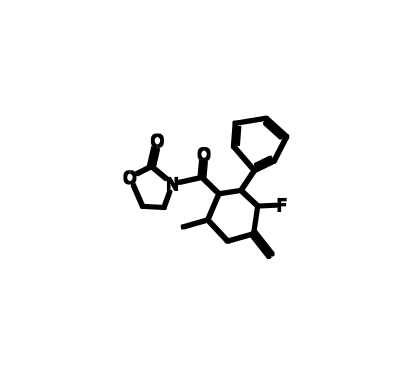 C=C1CC(C)C(C(=O)N2CCOC2=O)C(c2ccccc2)C1F